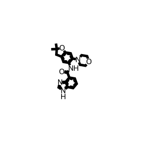 CC1(C)Cc2cc(NC(=O)c3cccc4[nH]cnc34)c(N3CCOCC3)cc2O1